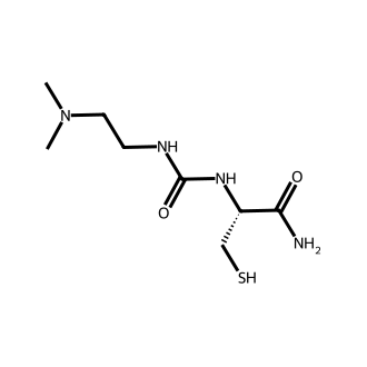 CN(C)CCNC(=O)N[C@@H](CS)C(N)=O